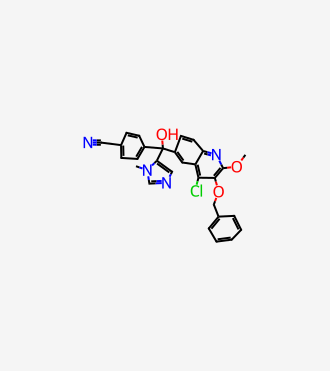 COc1nc2ccc(C(O)(c3ccc(C#N)cc3)c3cncn3C)cc2c(Cl)c1OCc1ccccc1